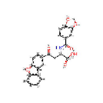 O=C(CC(NC(=O)c1ccc2c(c1)OCO2)C(=O)O)c1ccc2oc3ccccc3c2c1